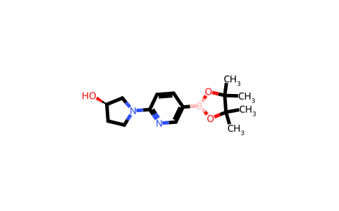 CC1(C)OB(c2ccc(N3CC[C@@H](O)C3)nc2)OC1(C)C